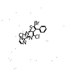 Cn1ccnc1-c1nc(Cl)c2c(-c3ccccc3)c(Br)sc2n1